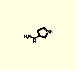 NNc1[c][nH]cc1